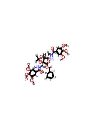 COc1cc(C(=O)NC[C@H]2O[C@@H](OCc3ccccc3)[C@]3(CNC(=O)c4cc(OC)c(OC)c(OC)c4)OC(C)(C)O[C@H]23)cc(OC)c1OC